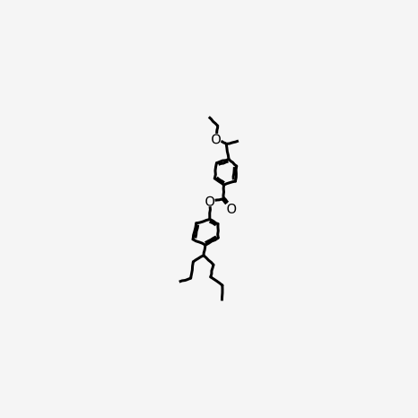 CCCCC(CCC)c1ccc(OC(=O)c2ccc(C(C)OCC)cc2)cc1